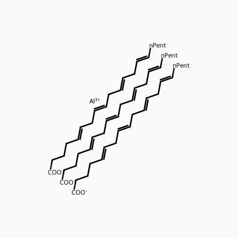 CCCCCC=CCC=CCC=CCC=CCCCC(=O)[O-].CCCCCC=CCC=CCC=CCC=CCCCC(=O)[O-].CCCCCC=CCC=CCC=CCC=CCCCC(=O)[O-].[Al+3]